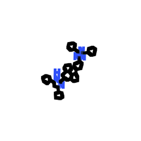 C1=C(c2ccccc2)NC(C2=Cc3cccc(-c4ccc(-c5nc(-c6ccccc6)nc(-c6ccccc6)n5)cc4)c3-c3ccccc3C2)N=C1c1ccccc1